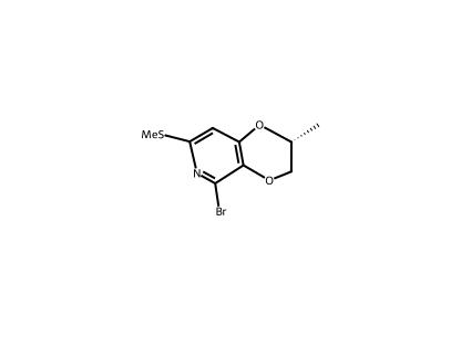 CSc1cc2c(c(Br)n1)OC[C@@H](C)O2